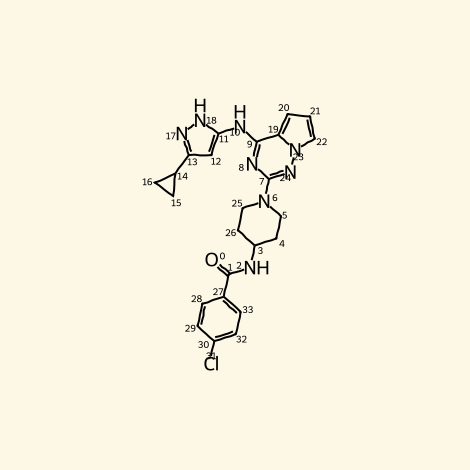 O=C(NC1CCN(c2nc(Nc3cc(C4CC4)n[nH]3)c3cccn3n2)CC1)c1ccc(Cl)cc1